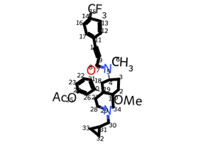 CO[C@]12CC[C@@H](N(C)C(=O)C#Cc3ccc(C(F)(F)F)cc3)C[C@]1(c1cccc(OC(C)=O)c1)CCN(CC1CC1)C2